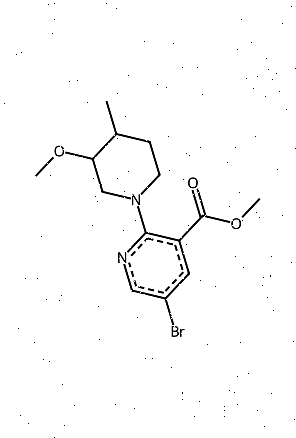 COC(=O)c1cc(Br)cnc1N1CCC(C)C(OC)C1